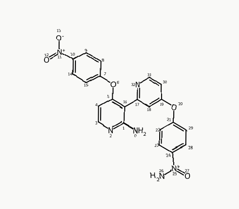 Nc1nccc(Oc2ccc([N+](=O)[O-])cc2)c1-c1cc(Oc2ccc([N+](N)=O)cc2)ccn1